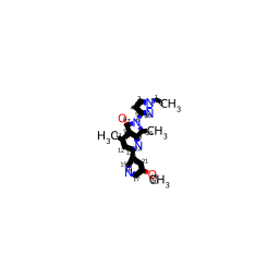 CCn1ccc(N2C(=O)c3c(C)cc(-c4cncc(OC)c4)nc3C2C)n1